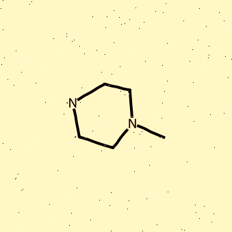 CN1C[CH][N]CC1